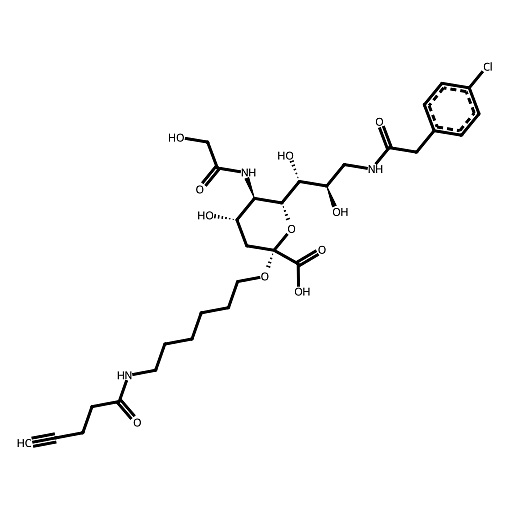 C#CCCC(=O)NCCCCCCO[C@]1(C(=O)O)C[C@H](O)[C@@H](NC(=O)CO)[C@H]([C@H](O)[C@H](O)CNC(=O)Cc2ccc(Cl)cc2)O1